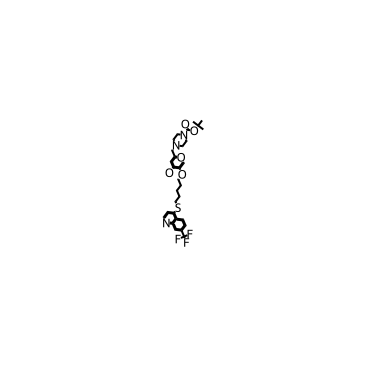 CC(C)(C)OC(=O)N1CCN(Cc2cc(=O)c(OCCCCCSc3ccnc4cc(C(F)(F)F)ccc34)co2)CC1